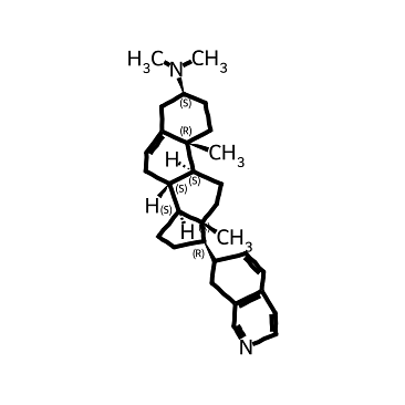 CN(C)[C@H]1CC[C@@]2(C)C(=CC[C@H]3[C@@H]4CC[C@H](C5C=Cc6ccncc6C5)[C@@]4(C)CC[C@@H]32)C1